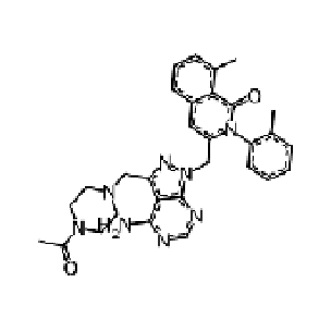 CC(=O)N1CCN(Cc2nn(Cc3cc4cccc(C)c4c(=O)n3-c3ccccc3C)c3ncnc(N)c23)CC1